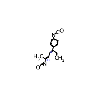 C=C/C(=C\C=C(/C)N=C=O)c1ccc(N=C=O)cc1